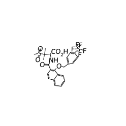 CC(C)([C@H](NC(=O)c1ccc2ccccc2c1OCc1ccc(S(F)(F)(F)(F)F)cc1)C(=O)O)S(C)(=O)=O